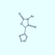 CC(=O)N1C(=O)OC(c2ccsc2)C1=O